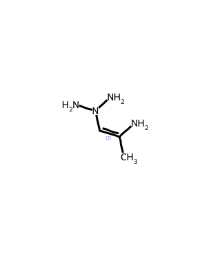 C/C(N)=C/N(N)N